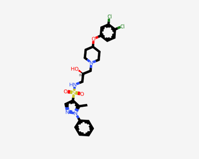 Cc1c(S(=O)(=O)NC[C@@H](O)CN2CCC(Oc3ccc(Cl)c(Cl)c3)CC2)cnn1-c1ccccc1